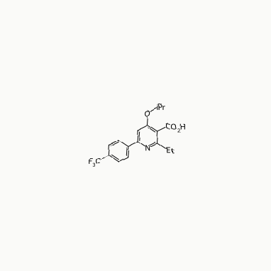 CCc1nc(-c2ccc(C(F)(F)F)cc2)cc(OC(C)C)c1C(=O)O